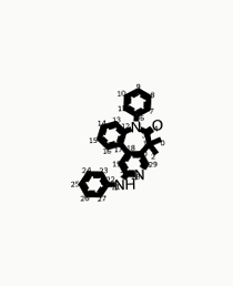 CC1(C)C(=O)N(c2ccccc2)c2ccccc2-c2cc(Nc3ccccc3)ncc21